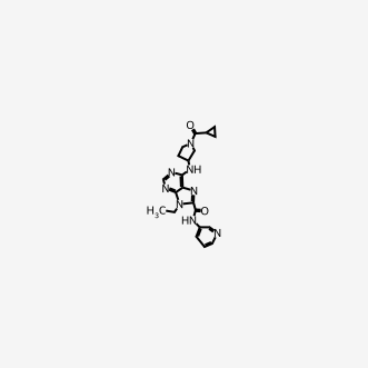 CCn1c(C(=O)Nc2cccnc2)nc2c(NC3CCN(C(=O)C4CC4)C3)ncnc21